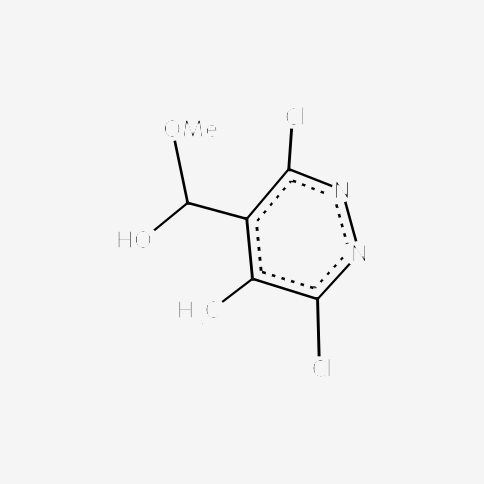 COC(O)c1c(Cl)nnc(Cl)c1C